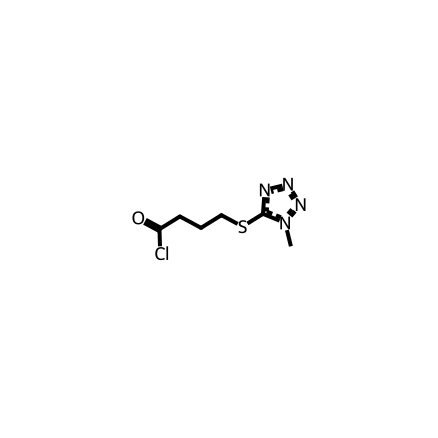 Cn1nnnc1SCCCC(=O)Cl